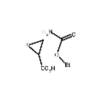 CCOC(N)=O.O=C(O)C1CS1